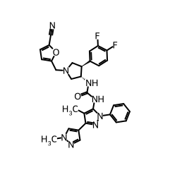 Cc1c(-c2cnn(C)c2)nn(-c2ccccc2)c1NC(=O)N[C@@H]1CN(Cc2ccc(C#N)o2)C[C@H]1c1ccc(F)c(F)c1